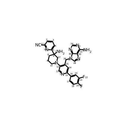 N#Cc1cccc(C2(N)CCCN(c3cnc(-c4ccc(F)c(F)c4)cc3Cn3cnc4c(N)ncnc43)C2)n1